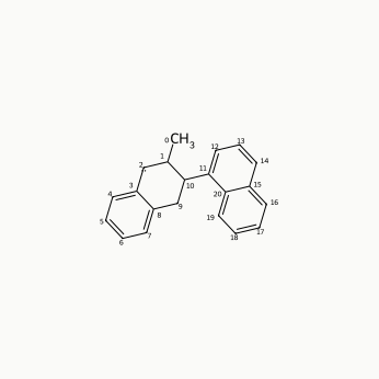 CC1[C]c2ccccc2CC1c1cccc2ccccc12